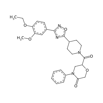 CCOc1ccc(-c2noc(C3CCN(C(=O)C4CN(c5ccccc5)C(=O)CO4)CC3)n2)cc1OC